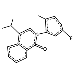 Cc1ccc(F)cc1-n1cc(C(C)C)c2ccccc2c1=O